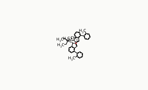 CC[C](CC)=[Hf]([CH3])([CH3])([CH]1C=Cc2c(-c3ccccc3C)cccc21)[CH]1C=Cc2c(-c3ccccc3C)cccc21